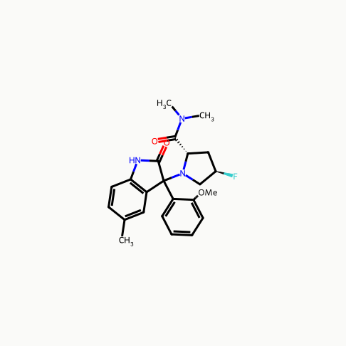 COc1ccccc1C1(N2C[C@H](F)C[C@H]2C(=O)N(C)C)C(=O)Nc2ccc(C)cc21